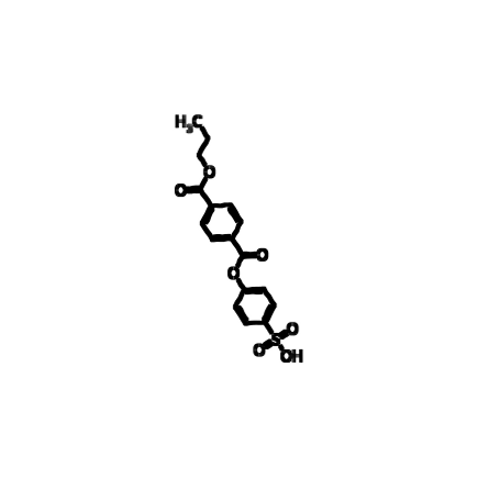 CCCOC(=O)c1ccc(C(=O)Oc2ccc(S(=O)(=O)O)cc2)cc1